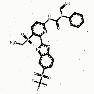 CCS(=O)(=O)c1ccc(NC(=O)N(C=N)c2ccccc2)nc1-c1nc2cc(S(=O)(=O)C(F)(F)F)ccc2o1